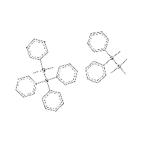 C[Si](C)(C)[Si](C)(c1ccccc1)c1ccccc1.C[Si](C)(c1ccccc1)[Si](c1ccccc1)(c1ccccc1)c1ccccc1